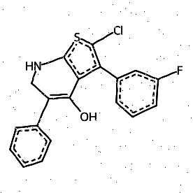 OC1=C(c2ccccc2)CNc2sc(Cl)c(-c3cccc(F)c3)c21